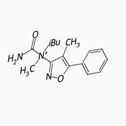 CCC(C)[N+](C)(C(N)=O)c1noc(-c2ccccc2)c1C